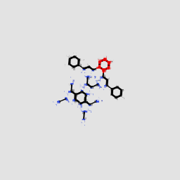 N#Cc1nc(C#N)c2c(n1)c1nc(C#N)nc(C#N)c1c1nc(-c3nc(-c4ccccc4)cc(-c4ccccc4)n3)c(-c3nc(-c4ccccc4)cc(-c4ccccc4)n3)nc12